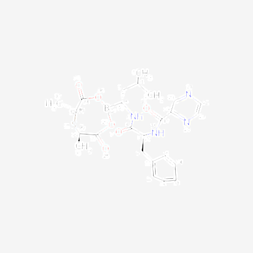 CC(C)C[C@H](NC(=O)[C@H](Cc1ccccc1)NC(=O)c1cnccn1)B1OC(=O)[C@@H](C)S[C@H](C)C(=O)O1